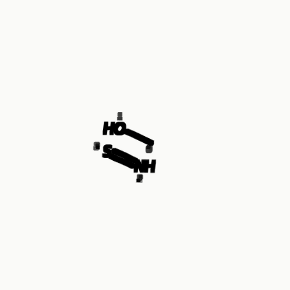 CO.N=S